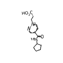 O=C(O)CC[n+]1ccc(C(=O)NC2CCCC2)cn1